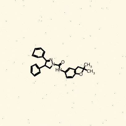 CC1(C)Cc2cc(NC(=O)N3CC(c4ccccc4)C(c4ccccc4)=N3)ccc2O1